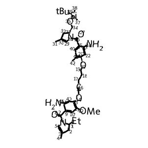 CCC1CC(C)=CN1C(=O)c1cc(OC)c(OCCCCCOc2cc(N)c(C(=O)N3C=C(C)C[C@H]3CO[Si](C)(C)C(C)(C)C)cc2C)cc1N